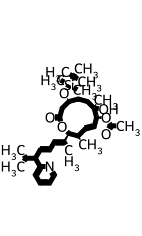 CC(=O)O[C@H]1/C=C/[C@H](C)[C@@H](/C(C)=C/C=C/C(c2ccccn2)C(C)C)OC(=O)C[C@H](O[Si](C)(C)C(C)(C)C)CC[C@@]1(C)O